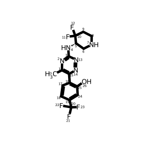 Cc1nc(N[C@H]2CNCCC2(F)F)nnc1-c1ccc(C(F)(F)F)cc1O